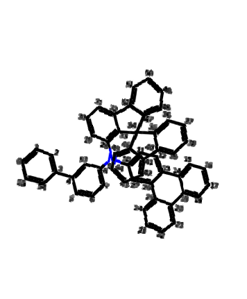 c1ccc(-c2cccc(N(c3ccc4c5ccccc5c5ccccc5c4c3)c3cccc4c3C3(c5ccccc5-c5ccccc53)c3ccccc3-4)c2)cc1